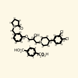 O.O=C(O)c1ccc(C(=O)O)cc1.O=C1CCCN1Cc1cccc(OCC(O)CN2CCC(c3ccc(Cl)c(Cl)c3)CC2)c1